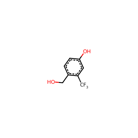 OCc1ccc(O)cc1C(F)(F)F